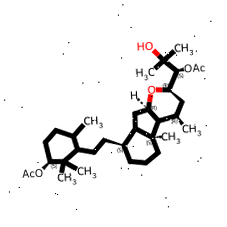 CC(=O)O[C@H]1CCC(C)C(CC[C@@H]2CCC[C@@]3(C)C2C[C@H]2O[C@@H]([C@H](OC(C)=O)C(C)(C)O)C[C@@H](C)C23)C1(C)C